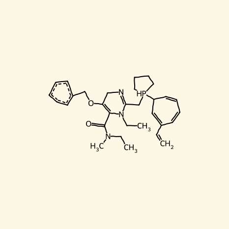 C=CC1=CC([PH]2(CC3=NCC(OCc4ccccc4)=C(C(=O)N(C)CC)N3CC)CCCC2)C=CC=C1